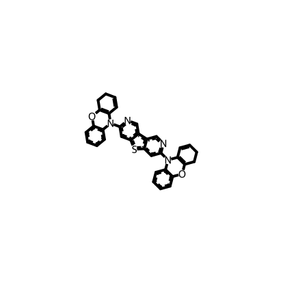 C1=CC2=C(CC1)Oc1ccccc1N2c1cc2sc3cc(N4C5=C(CCC=C5)Oc5ccccc54)ncc3c2cn1